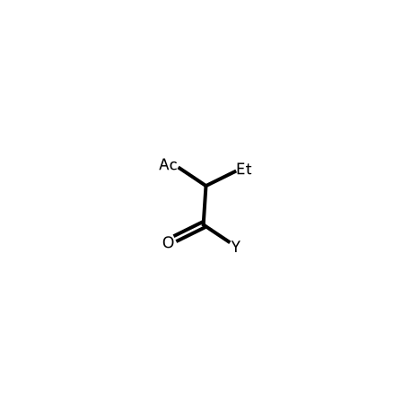 CCC(C(C)=O)[C](=O)[Y]